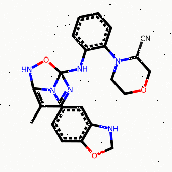 CC1=C2NOC(Nc3ccccc3N3CCOCC3C#N)(N=C1)N2c1ccc2c(c1)NCO2